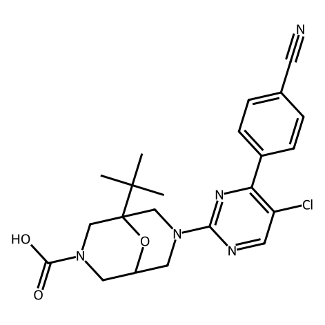 CC(C)(C)C12CN(C(=O)O)CC(CN(c3ncc(Cl)c(-c4ccc(C#N)cc4)n3)C1)O2